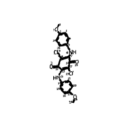 COc1ccc(NC2=C(Cl)C(=O)C(Nc3ccc(OC)cc3)=C(Cl)C2=O)cc1